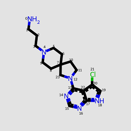 NCCCN1CCC2(CC1)CCN(c1ncnc3[nH]cc(Cl)c13)C2